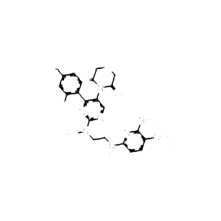 CC(=O)N(CCNc1ccc([N+](=O)[O-])c(N)n1)c1ncc(N2C(=O)COCC2=O)c(-c2ccc(Cl)cc2Cl)n1